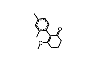 COC1=C(c2ccc(C)cc2C)C(=O)CCC1